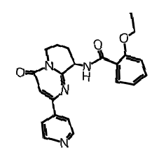 CCOc1ccccc1C(=O)NC1CCCn2c1nc(-c1ccncc1)cc2=O